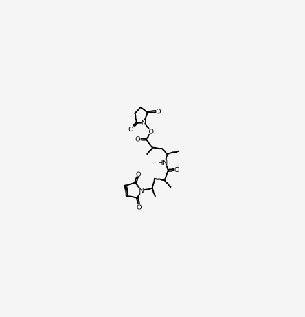 CC(CC(C)C(=O)ON1C(=O)CCC1=O)NC(=O)C(C)CC(C)N1C(=O)C=CC1=O